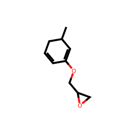 CC1C=C(OCC2CO2)C=CC1